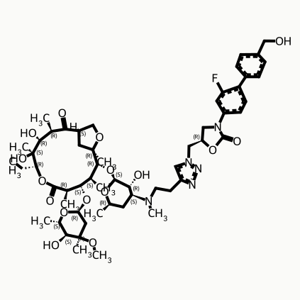 CC[C@H]1OC(=O)[C@H](C)[C@@H](O[C@H]2C[C@@](C)(OC)[C@@H](O)[C@H](C)O2)[C@H](C)[C@@H](O[C@@H]2O[C@H](C)C[C@H](N(C)CCc3cn(C[C@H]4CN(c5ccc(-c6ccc(CO)cc6)c(F)c5)C(=O)O4)nn3)[C@H]2O)[C@@]2(C)C[C@@H](CO2)C(=O)[C@H](C)[C@@H](O)[C@]1(C)O